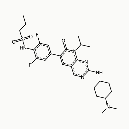 CCCS(=O)(=O)Nc1c(F)cc(-c2cc3cnc(N[C@H]4CC[C@H](N(C)C)CC4)nc3n(C(C)C)c2=O)cc1F